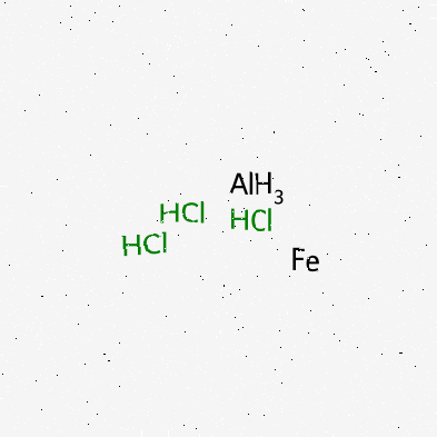 Cl.Cl.Cl.[AlH3].[Fe]